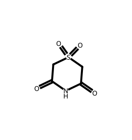 O=C1CS(=O)(=O)CC(=O)N1